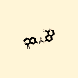 Clc1nccc2ccc(OBOc3ccc4ccnc(Cl)c4c3)cc12